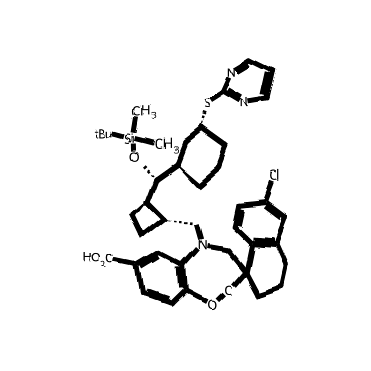 CC(C)(C)[Si](C)(C)O[C@H]([C@@H]1CCC[C@@H](Sc2ncccn2)C1)[C@@H]1CC[C@H]1CN1CC2(CCCc3cc(Cl)ccc32)COc2ccc(C(=O)O)cc21